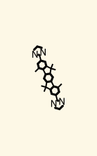 Cc1cc(-c2ncccn2)cc2c1-c1cc3c(cc1C2(C)C)-c1c(C)cc(-c2ncccn2)cc1C3(C)C